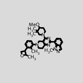 COC1CCN(c2nc(-c3cccc4cnn(C)c34)nc3c2CN(c2cccc(C4COC4C)c2C)CC3)CC1(C)C